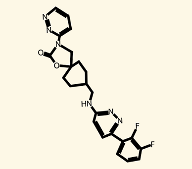 O=C1OC2(CCC(CNc3ccc(-c4cccc(F)c4F)nn3)CC2)CN1c1cccnn1